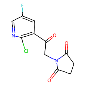 O=C(CN1C(=O)CCC1=O)c1cc(F)cnc1Cl